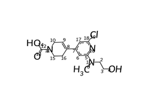 CN(CCO)c1cc(C2=CCN(C(=O)O)CC2)cc(Cl)n1